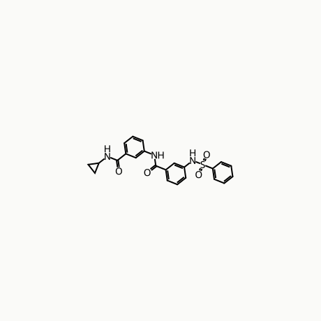 O=C(Nc1cccc(C(=O)NC2CC2)c1)c1cccc(NS(=O)(=O)c2ccccc2)c1